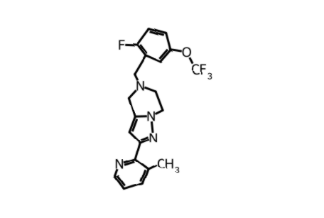 Cc1cccnc1-c1cc2n(n1)CCN(Cc1cc(OC(F)(F)F)ccc1F)C2